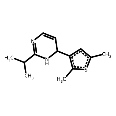 Cc1cc(C2C=CN=C(C(C)C)N2)c(C)s1